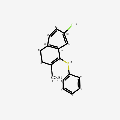 CCOC(=O)C1=C(Sc2ccccc2)c2cc(F)ccc2CC1